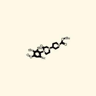 CC(=O)c1[c]c(O[O])c(C(C)(C)C)c(C(C)(C)C)c1N1CCN(C2CCN(C(=O)OC(C)(C)C)CC2)CC1=O